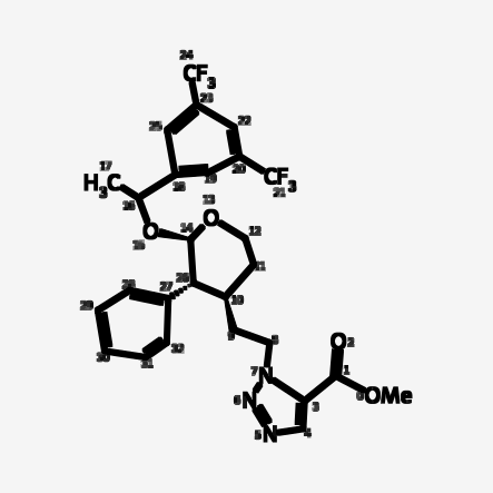 COC(=O)c1cnnn1CC[C@@H]1CCO[C@H](OC(C)c2cc(C(F)(F)F)cc(C(F)(F)F)c2)[C@H]1c1ccccc1